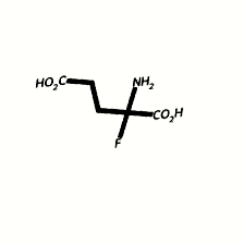 NC(F)(CCC(=O)O)C(=O)O